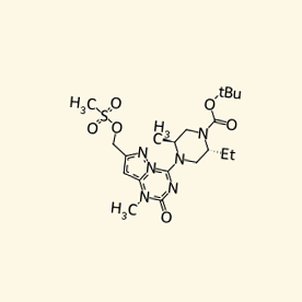 CC[C@@H]1CN(c2nc(=O)n(C)c3cc(COS(C)(=O)=O)nn23)[C@@H](C)CN1C(=O)OC(C)(C)C